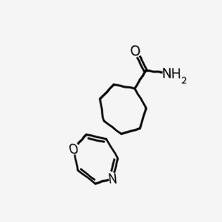 C1=COC=CN=C1.NC(=O)C1CCCCCC1